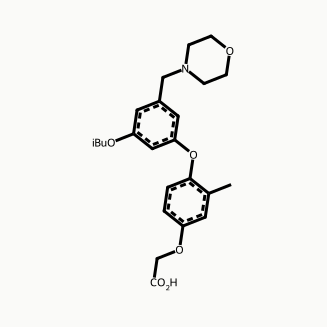 Cc1cc(OCC(=O)O)ccc1Oc1cc(CN2CCOCC2)cc(OCC(C)C)c1